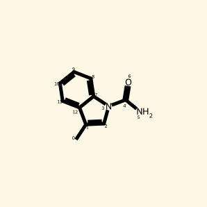 Cc1cn(C(N)=O)c2cc[c]cc12